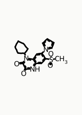 CS(=O)(=O)c1cc2[nH]c(=O)c(=O)n(C3CCCCC3)c2cc1-n1cccc1